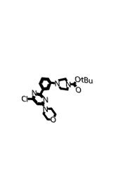 CC(C)(C)OC(=O)N1CCN(c2cccc(-c3nc(Cl)cc(N4CCOCC4)n3)c2)CC1